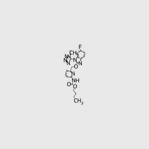 CCCCOC(=O)Nc1cccc(COc2nc3ccc(F)cc3n2-c2nnnn2C)n1